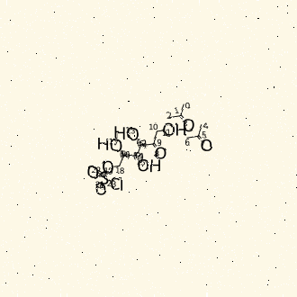 CC(C)=O.CC(C)=O.O=C(CO)[C@@H](O)[C@H](O)[C@H](O)COS(=O)(=O)Cl